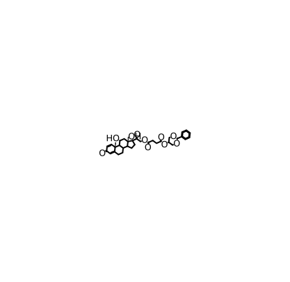 C[C@]12C=CC(=O)C=C1CCC1C2[C@@H](O)C[C@@]2(C)C1CC[C@]2(O)C(=O)COC(=O)CCC(=O)OC1COC(c2ccccc2)OC1